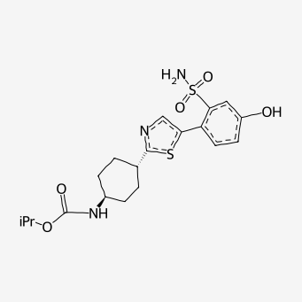 CC(C)OC(=O)N[C@H]1CC[C@H](c2ncc(-c3ccc(O)cc3S(N)(=O)=O)s2)CC1